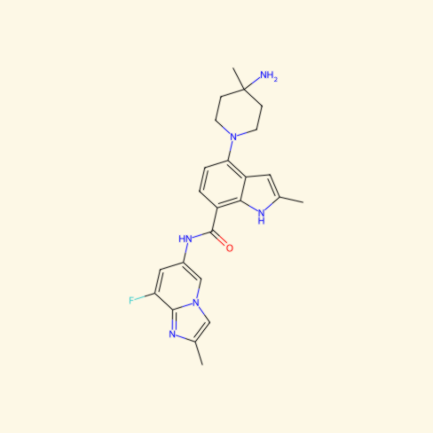 Cc1cn2cc(NC(=O)c3ccc(N4CCC(C)(N)CC4)c4cc(C)[nH]c34)cc(F)c2n1